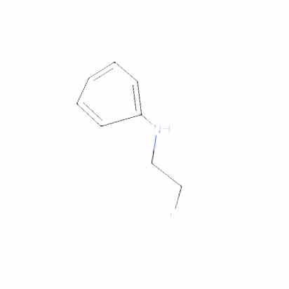 ClCCNc1[c]cccc1